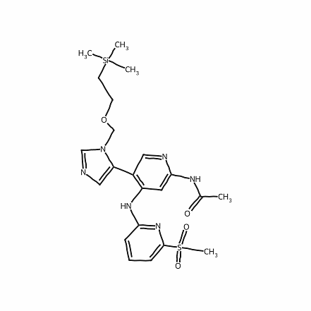 CC(=O)Nc1cc(Nc2cccc(S(C)(=O)=O)n2)c(-c2cncn2COCC[Si](C)(C)C)cn1